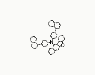 c1ccc2c(-c3ccc(N(c4ccc(-c5cccc6ccccc56)cc4)c4c5ccccc5cc5oc6ccccc6c45)cc3)cccc2c1